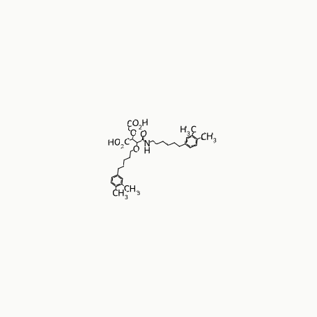 Cc1ccc(CCCCCCNC(=O)C(OCCCCCc2ccc(C)c(C)c2)C(OCC(=O)O)C(=O)O)cc1C